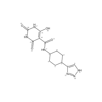 O=C(NC1CCC(c2c[nH]nn2)CC1)c1c(O)[nH]c(=O)[nH]c1=O